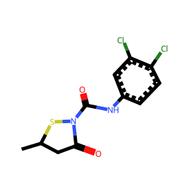 CC1CC(=O)N(C(=O)Nc2ccc(Cl)c(Cl)c2)S1